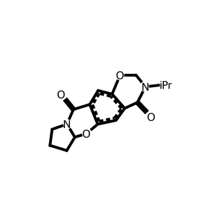 CC(C)N1COc2cc3c(cc2C1=O)OC1CCCN1C3=O